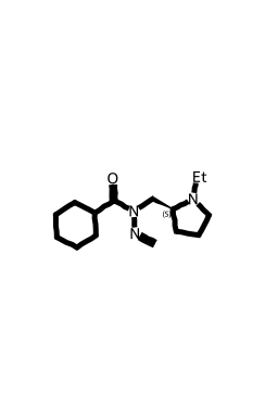 C=NN(C[C@@H]1CCCN1CC)C(=O)C1CCCCC1